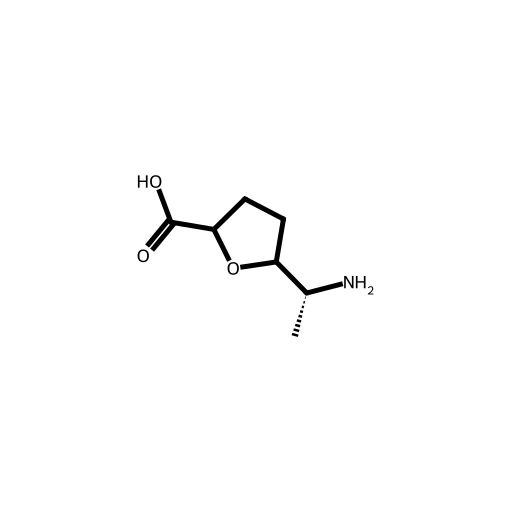 C[C@@H](N)C1CCC(C(=O)O)O1